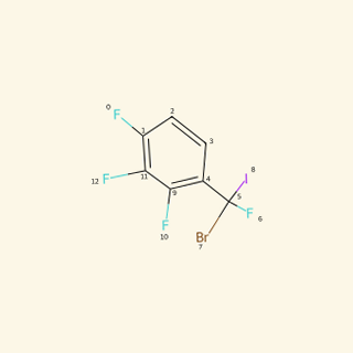 Fc1ccc(C(F)(Br)I)c(F)c1F